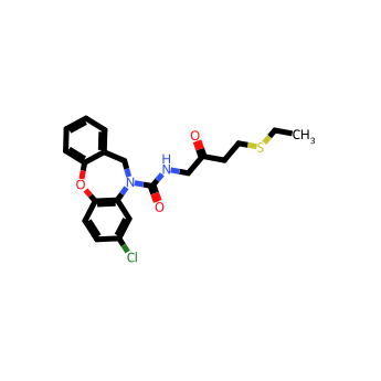 CCSCCC(=O)CNC(=O)N1Cc2ccccc2Oc2ccc(Cl)cc21